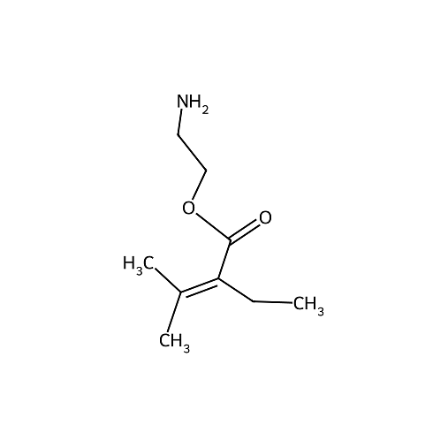 CCC(C(=O)OCCN)=C(C)C